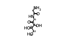 NCC(=O)NCC(=O)C(O)C(O)CO